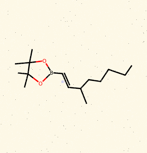 CCCCCC(C)/C=C/B1OC(C)(C)C(C)(C)O1